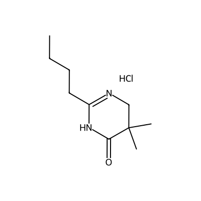 CCCCC1=NCC(C)(C)C(=O)N1.Cl